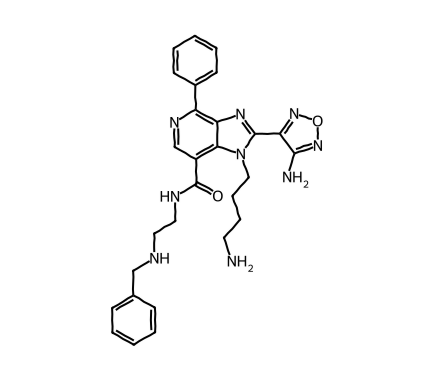 NCCCCn1c(-c2nonc2N)nc2c(-c3ccccc3)ncc(C(=O)NCCNCc3ccccc3)c21